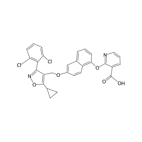 O=C(O)c1cccnc1Oc1cccc2cc(OCc3c(-c4c(Cl)cccc4Cl)noc3C3CC3)ccc12